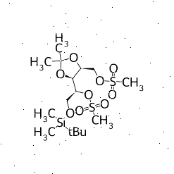 CC1(C)O[C@H]([C@H](CO[Si](C)(C)C(C)(C)C)OS(C)(=O)=O)[C@H](COS(C)(=O)=O)O1